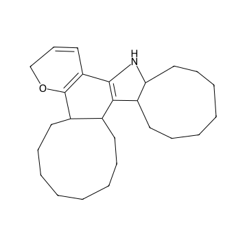 C1=CC2=C(OC1)C1CCCCCCCCC1C1=C2NC2CCCCCCCC12